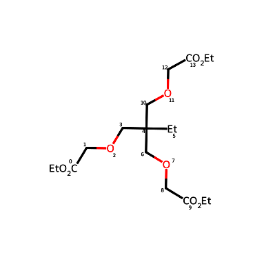 CCOC(=O)COCC(CC)(COCC(=O)OCC)COCC(=O)OCC